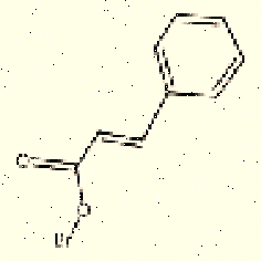 O=C(C=Cc1ccccc1)OBr